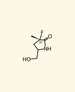 C[C@]1(F)CC(CO)NC1=O